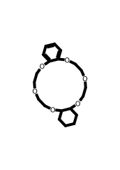 c1ccc2c(c1)OCCOCCOC1CCCCC1OCCOCCO2